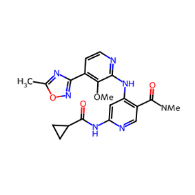 CNC(=O)c1cnc(NC(=O)C2CC2)cc1Nc1nccc(-c2noc(C)n2)c1OC